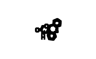 O=C1COC2(CN1)Cc1ccccc1Sc1ccccc12